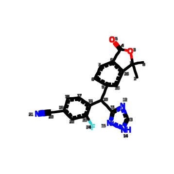 CC1(C)OC(=O)c2ccc(C(c3nc[nH]n3)c3ccc(C#N)cc3F)cc21